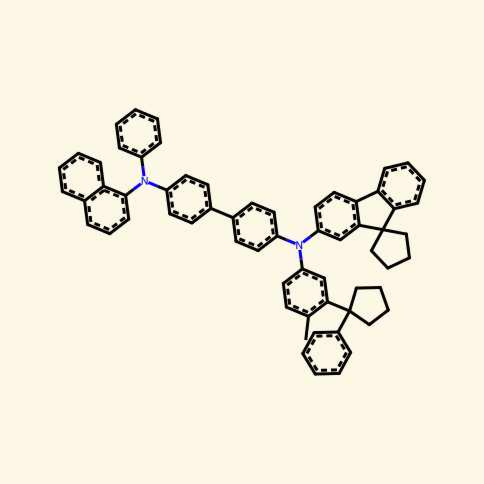 Cc1ccc(N(c2ccc(-c3ccc(N(c4ccccc4)c4cccc5ccccc45)cc3)cc2)c2ccc3c(c2)C2(CCCC2)c2ccccc2-3)cc1C1(c2ccccc2)CCCC1